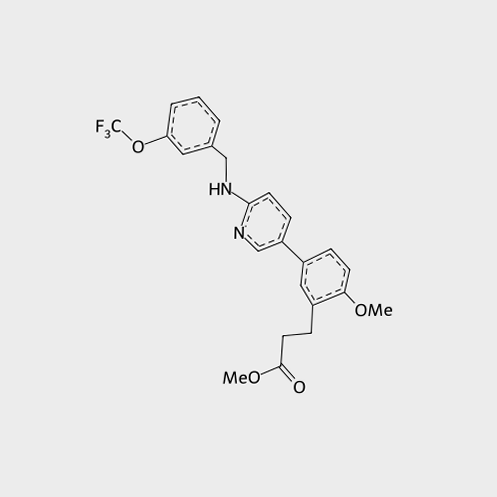 COC(=O)CCc1cc(-c2ccc(NCc3cccc(OC(F)(F)F)c3)nc2)ccc1OC